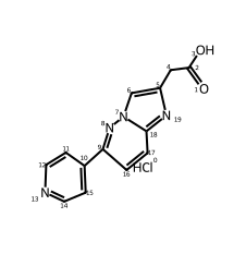 Cl.O=C(O)Cc1cn2nc(-c3ccncc3)ccc2n1